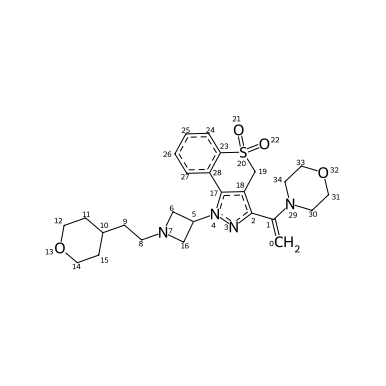 C=C(c1nn(C2CN(CCC3CCOCC3)C2)c2c1CS(=O)(=O)c1ccccc1-2)N1CCOCC1